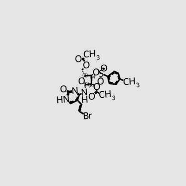 CC(=O)OC[C@H]1O[C@@H](Nc2nc(=O)[nH]cc2C=CBr)[C@H](OC(C)=O)[C@H]1OS(=O)(=O)c1ccc(C)cc1